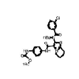 CCCCN(C(=O)c1cccc(Cl)c1)c1nc2n(c1C(=O)Nc1ccc(NC(=O)OC(C)(C)C)cc1)CCCC2